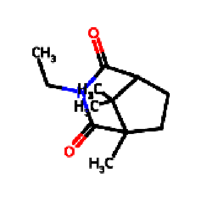 CCN1C(=O)C2CCC(C)(C1=O)C2(C)C